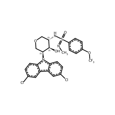 CN=S(=O)(N[C@H]1COC[C@H](n2c3ccc(Cl)cc3c3cc(Cl)ccc32)[C@@H]1O)c1ccc(OC(F)(F)F)cc1